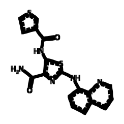 NC(=O)c1nc(Nc2cccc3cccnc23)sc1NC(=O)c1ccsc1